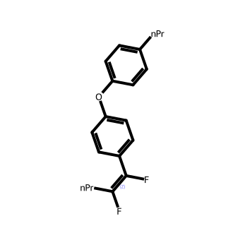 CCC/C(F)=C(/F)c1ccc(Oc2ccc(CCC)cc2)cc1